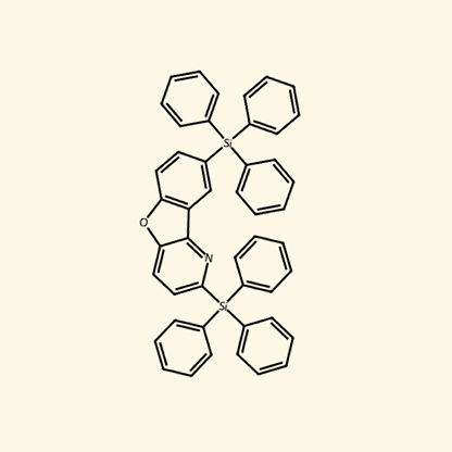 c1ccc([Si](c2ccccc2)(c2ccccc2)c2ccc3oc4ccc([Si](c5ccccc5)(c5ccccc5)c5ccccc5)nc4c3c2)cc1